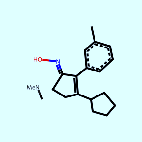 CNC.Cc1cccc(C2=C(C3CCCC3)CCC2=NO)c1